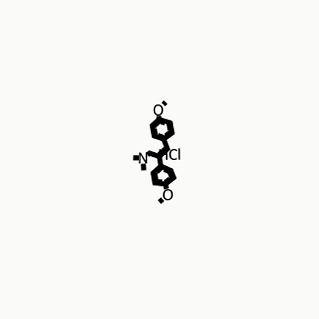 COc1ccc(C=C(CN(C)C)c2ccc(OC)cc2)cc1.Cl